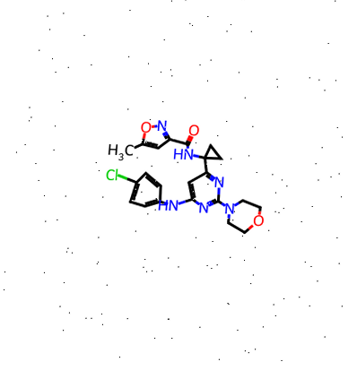 Cc1cc(C(=O)NC2(c3cc(Nc4ccc(Cl)cc4)nc(N4CCOCC4)n3)CC2)no1